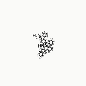 NC(=O)c1ccncc1-c1ccc(NC2=C(Cl)C(Oc3ccccc3)c3ccccc3C2Oc2ccccc2)cc1